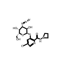 [N-]=[N+]=N[C@@H]1[C@@H](O)[C@@H](Sc2cc(Cl)cnc2C(=O)NN2CCC2)O[C@H](CO)[C@@H]1O